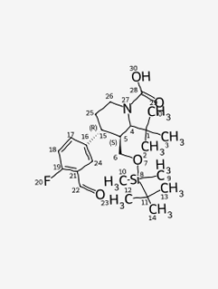 CC(C)(C)C1[C@@H](CO[Si](C)(C)C(C)(C)C)[C@H](c2ccc(F)c(C=O)c2)CCN1C(=O)O